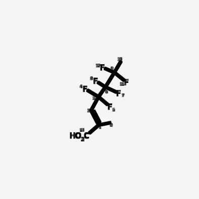 CC(=CC(F)(F)C(F)(F)C(C)(F)F)C(=O)O